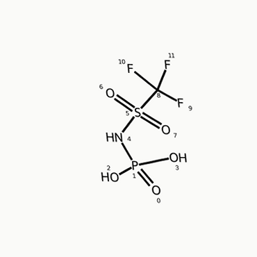 O=P(O)(O)NS(=O)(=O)C(F)(F)F